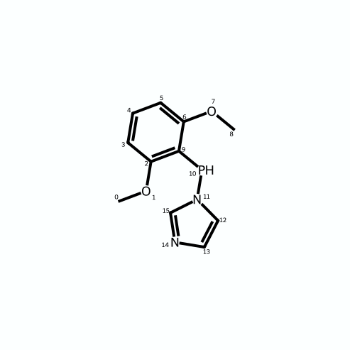 COc1cccc(OC)c1Pn1ccnc1